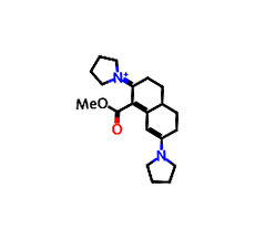 COC(=O)C1=C2C=C(N3CCCC3)CCC2CCC1=[N+]1CCCC1